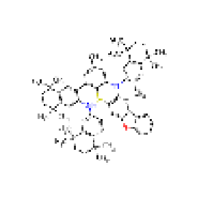 Cc1cc(-c2cc3c(cc2Nc2ccc4c(c2)C(C)(C)CCC4(C)C)C(C)(C)CCC3(C)C)c2c(c1)N(c1cc3c(cc1C)C(C)(C)CCC3(C)C)c1cc3c(cc1S2)oc1ccccc13